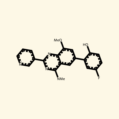 CNc1nc(-c2cccnc2)nc2c(OC)cc(-c3cc(F)ccc3O)cc12